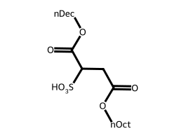 CCCCCCCCCCOC(=O)C(CC(=O)OCCCCCCCC)S(=O)(=O)O